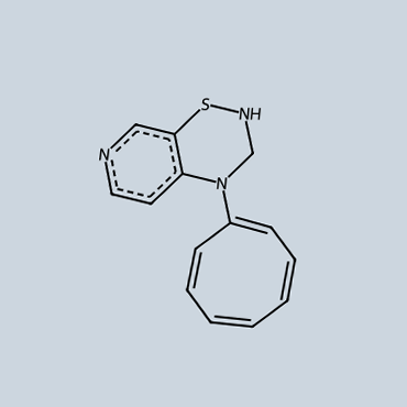 C1=CC=CC(N2CNSc3cnccc32)=CC=C1